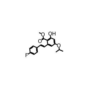 COC(=O)c1c(O)cc(OC(C)C)cc1C=Cc1ccc(F)cc1